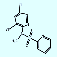 CN(c1ncc(Cl)cc1Cl)S(=O)(=O)c1ccccn1